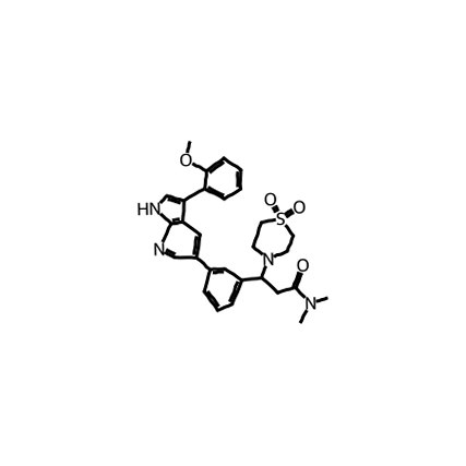 COc1ccccc1-c1c[nH]c2ncc(-c3cccc(C(CC(=O)N(C)C)N4CCS(=O)(=O)CC4)c3)cc12